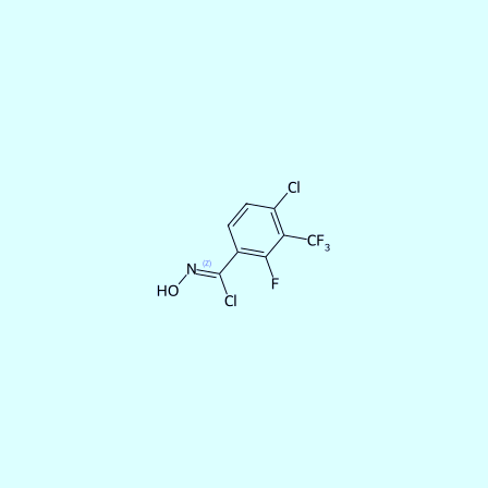 O/N=C(\Cl)c1ccc(Cl)c(C(F)(F)F)c1F